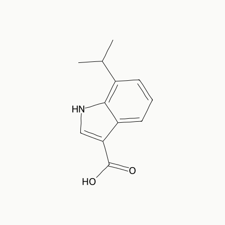 CC(C)c1cccc2c(C(=O)O)c[nH]c12